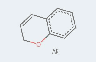 C1=Cc2ccccc2OC1.[Al]